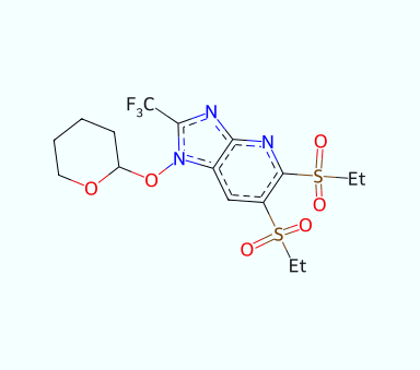 CCS(=O)(=O)c1cc2c(nc1S(=O)(=O)CC)nc(C(F)(F)F)n2OC1CCCCO1